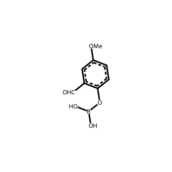 COc1ccc(OB(O)O)c(C=O)c1